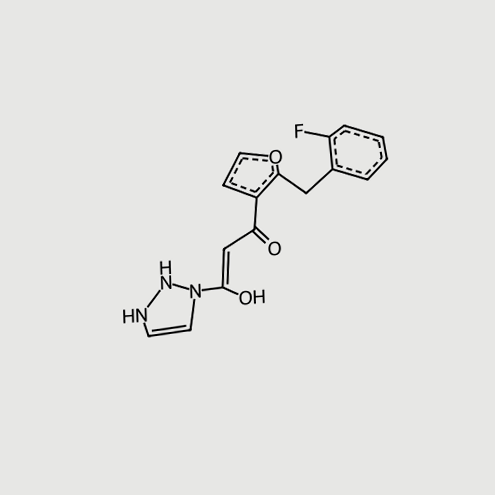 O=C(C=C(O)N1C=CNN1)c1ccoc1Cc1ccccc1F